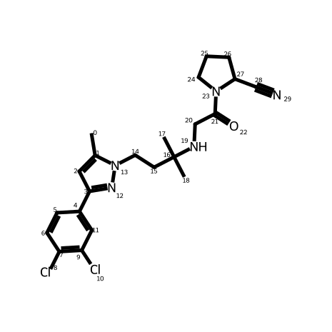 Cc1cc(-c2ccc(Cl)c(Cl)c2)nn1CCC(C)(C)NCC(=O)N1CCCC1C#N